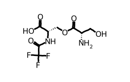 N[C@@H](CO)C(=O)OC[C@H](NC(=O)C(F)(F)F)C(=O)O